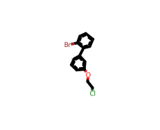 ClCCOc1cc[c]c(-c2ccccc2Br)c1